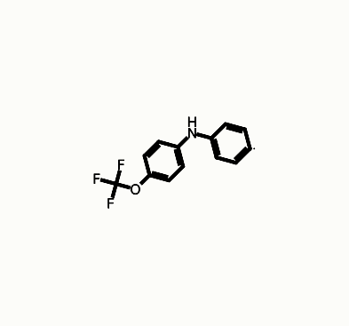 FC(F)(F)Oc1ccc(Nc2cc[c]cc2)cc1